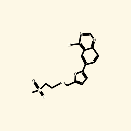 CS(=O)(=O)CCNCc1ccc(-c2ccc3ncnc(Cl)c3c2)o1